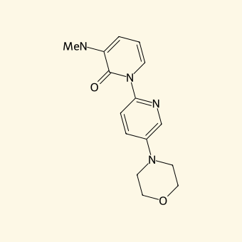 CNc1cccn(-c2ccc(N3CCOCC3)cn2)c1=O